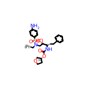 CC(C)CN(C[C@@H](O)[C@H](CCc1ccccc1)NC(=O)O[C@H]1CCOC1)S(=O)(=O)c1ccc(N)cc1